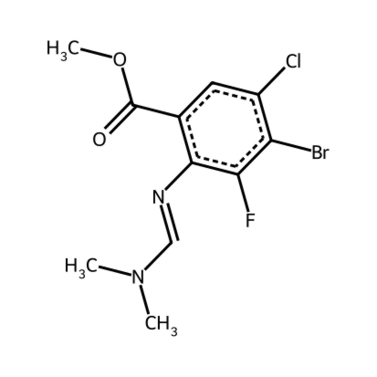 COC(=O)c1cc(Cl)c(Br)c(F)c1/N=C/N(C)C